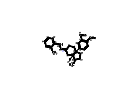 COc1ccc([C@@]23CC/C(=N\Nc4ncccc4C)C[C@@H]2N(C)CC3)cc1OC